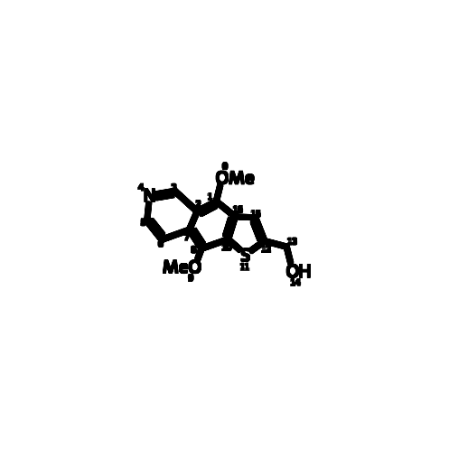 COc1c2cnccc2c(OC)c2sc(CO)cc12